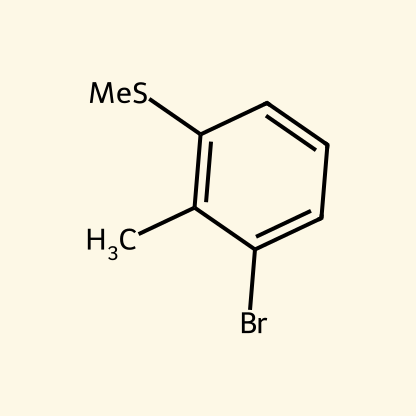 CSc1cccc(Br)c1C